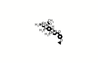 C=CC(=O)Nc1cc(Nc2nccc(C(=O)c3ccc(OC4CC4)cc3)n2)c(OC)cc1N(C)CCN(C)C